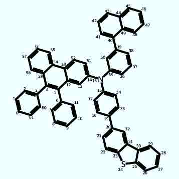 c1ccc(-c2c(-c3ccccc3)c3cc(N(c4ccc(-c5ccc6sc7ccccc7c6c5)cc4)c4cccc(-c5cccc6ccccc56)c4)ccc3c3ccccc23)cc1